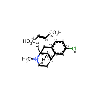 CN1CC[C@]23CCCC[C@H]2[C@H]1Cc1ccc(Cl)cc13.O=C(O)/C=C/C(=O)O